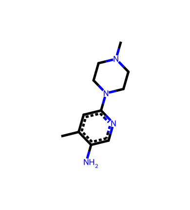 Cc1cc(N2CCN(C)CC2)ncc1N